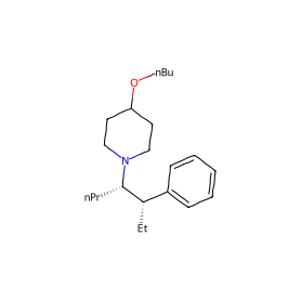 CCCCOC1CCN([C@@H](CCC)[C@@H](CC)c2ccccc2)CC1